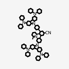 Cc1cccc(-c2c(-c3ccc(-n4c5ccc(N(c6ccccc6)c6ccccc6)cc5c5cc(N(c6ccccc6)c6ccccc6)ccc54)cc3)cc(C#N)cc2-c2ccc(-n3c4ccc(N(c5ccccc5)c5ccccc5)cc4c4cc(N(c5ccccc5)c5ccccc5)ccc43)cc2)n1